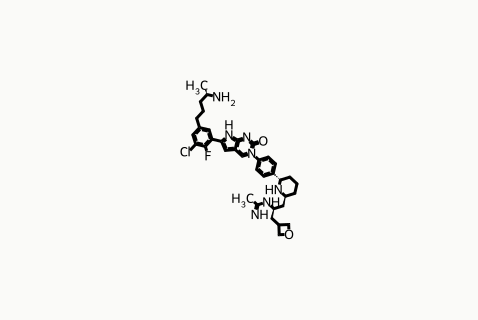 CC(=N)N[C@H](CC1COC1)C[C@@H]1CCC[C@@H](c2ccc(-n3cc4cc(-c5cc(CCC[C@H](C)N)cc(Cl)c5F)[nH]c4nc3=O)cc2)N1